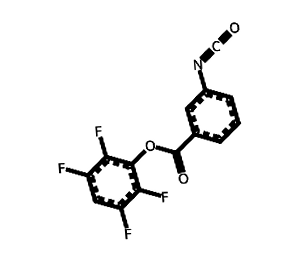 O=C=Nc1cccc(C(=O)Oc2c(F)c(F)cc(F)c2F)c1